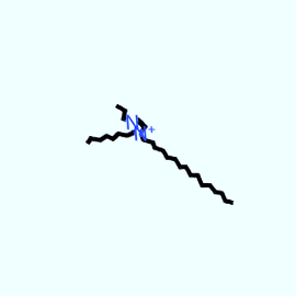 CCCCCCCCCCCCCCCC[n+]1ccn(CCC)c1CCCCCCC